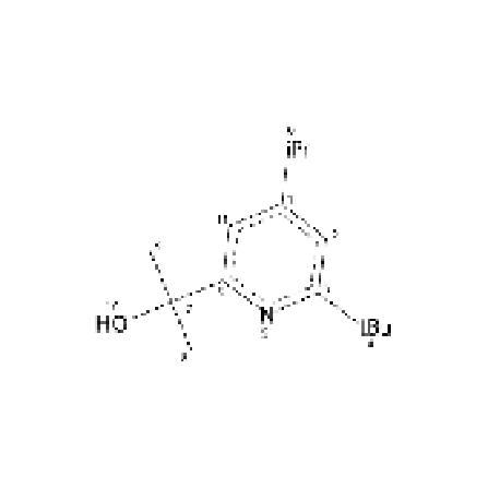 CC(C)c1cc(C(C)(C)C)nc(C(C)(C)O)c1